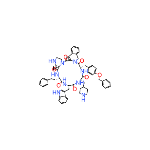 O=C1N[C@@H](Cc2ccc(OCc3ccccc3)cc2)C(=O)N2Cc3ccccc3C[C@H]2C(=O)N2CCNC[C@H]2C(=O)N[C@@H](CCc2ccccc2)C(=O)N[C@H](Cc2c[nH]c3ccccc23)C(=O)N[C@H]1CC1CCNCC1